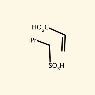 C=CC(=O)O.CC(C)CS(=O)(=O)O